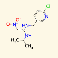 CC(C)NC(=C[N+](=O)[O-])NCc1ccc(Cl)nc1